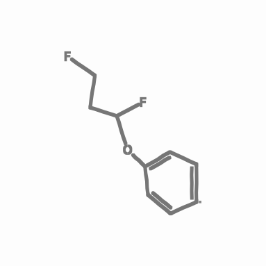 FCCC(F)Oc1cc[c]cc1